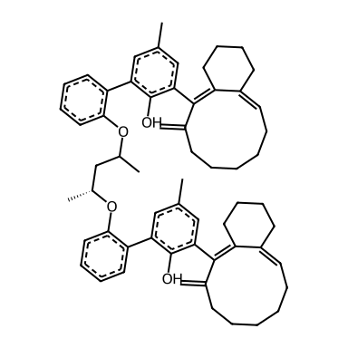 C=C1CCCCC/C=C2/CCCC/C2=C/1c1cc(C)cc(-c2ccccc2OC(C)C[C@@H](C)Oc2ccccc2-c2cc(C)cc(/C3=C4\CCCC\C4=C\CCCCCC3=C)c2O)c1O